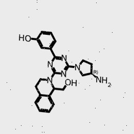 N[C@@H]1CCN(c2nc(-c3cccc(O)c3)nc(N3CCc4ccccc4C3CO)n2)C1